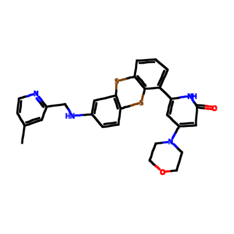 Cc1ccnc(CNc2ccc3c(c2)Sc2cccc(-c4cc(N5CCOCC5)cc(=O)[nH]4)c2S3)c1